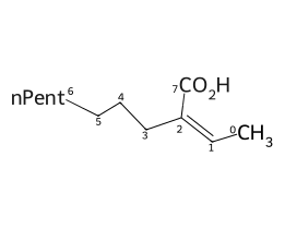 C/C=C(/CCCCCCCC)C(=O)O